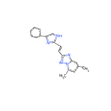 Cc1cc(C)n2nc(C=Cc3nc(-c4ccccc4)c[nH]3)nc2c1